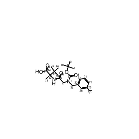 CC(C)(C)OC(=O)N(CC(=O)N[C@](C)(C(=O)O)C(C)(C)C)Cc1cccc(F)c1